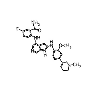 COc1cc(C2=CCCN(C)C2)ccc1Nc1cc2c(Nc3ccc(F)cc3C(N)=O)cncc2[nH]1